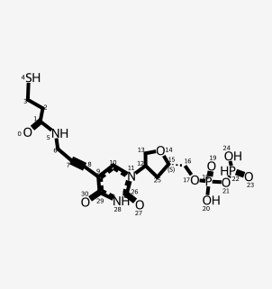 O=C(CCS)NCC#Cc1cn(C2CO[C@H](COP(=O)(O)O[PH](=O)O)C2)c(=O)[nH]c1=O